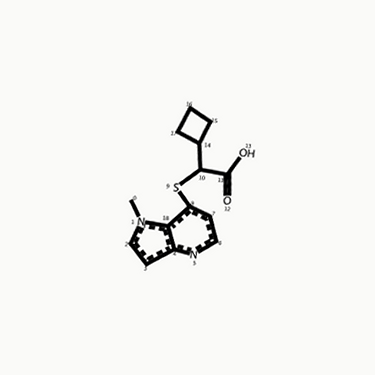 Cn1ccc2nccc(SC(C(=O)O)C3CCC3)c21